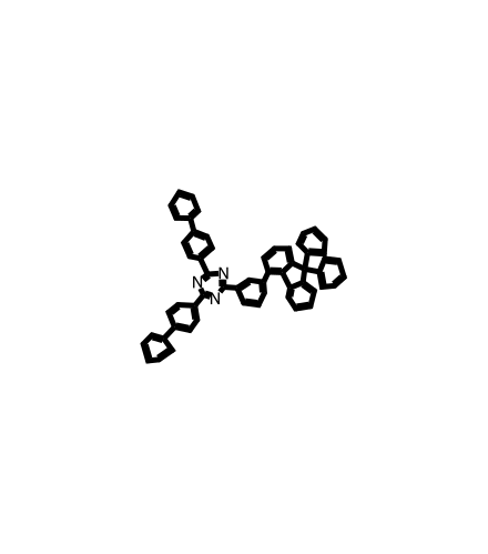 c1ccc(-c2ccc(-c3nc(-c4ccc(-c5ccccc5)cc4)nc(-c4cccc(-c5cccc6c5-c5ccccc5C6(c5ccccc5)c5ccccc5)c4)n3)cc2)cc1